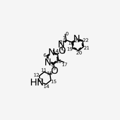 CC(=NOc1ncnc(OC2CCNCC2)c1C)c1ccccn1